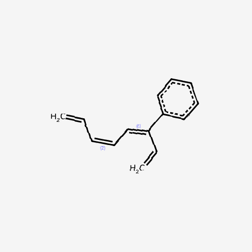 C=C/C=C\C=C(/C=C)c1ccccc1